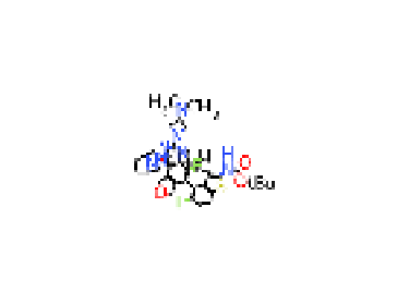 CN(C)C1CN(c2nc(N3C4CCC3CN(C(=O)O)C4)c3c4c(c(-c5c(F)ccc6sc(NC(=O)OC(C)(C)C)c(C#N)c56)c(F)c3n2)COC4)C1